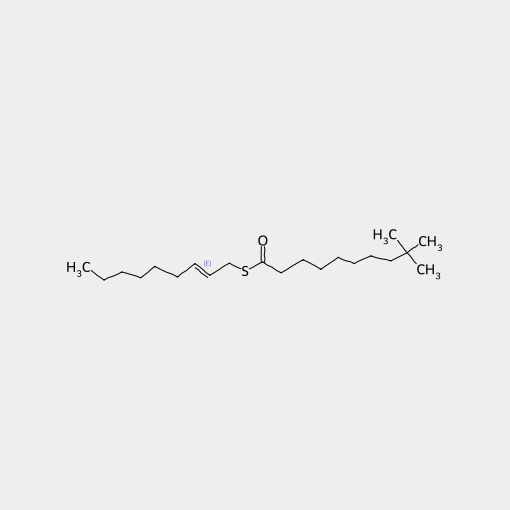 CCCCCC/C=C/CSC(=O)CCCCCCCC(C)(C)C